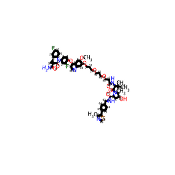 COc1cc2c(Oc3ccc(N(C(=O)C4(C(N)=O)CC4)c4ccc(F)cc4)cc3F)ccnc2cc1OCCCOCCCOCCC(=O)NC(C(=O)N1C[C@H](O)C[C@H]1C(=O)NCc1ccc(-c2scnc2C)cc1)C(C)(C)C